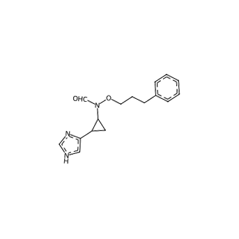 O=CN(OCCCc1ccccc1)C1CC1c1c[nH]cn1